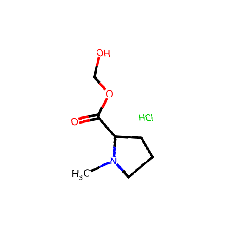 CN1CCCC1C(=O)OCO.Cl